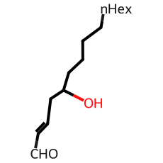 CCCCCCCCCCC(O)CC=CC=O